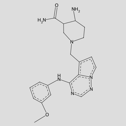 COc1cccc(Nc2ncnn3ccc(CN4CCC(N)C(C(N)=O)C4)c23)c1